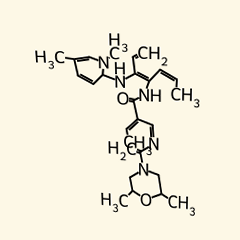 C=C/C(NC1C=CC(C)=CN1C)=C(\C=C/C)NC(=O)C(/C=N\C(=C)N1CC(C)OC(C)C1)=C/C